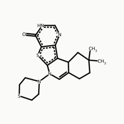 CC1(C)CCC2=CN(N3CCSCC3)c3sc4c(=O)[nH]cnc4c3C2C1